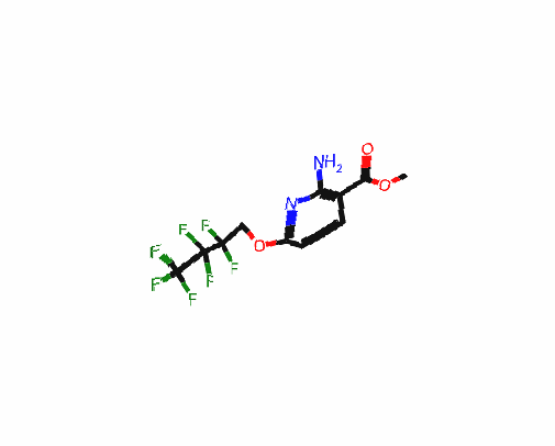 COC(=O)c1ccc(OCC(F)(F)C(F)(F)C(F)(F)F)nc1N